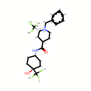 O=C(N[C@H]1CC[C@@](O)(C(F)(F)F)CC1)C1CCN(Cc2ccccc2)[C@@H](C(F)(F)F)C1